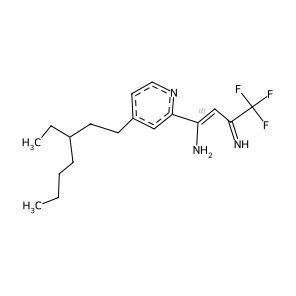 CCCCC(CC)CCc1ccnc(/C(N)=C/C(=N)C(F)(F)F)c1